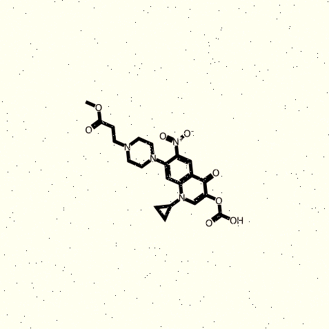 COC(=O)CCN1CCN(c2cc3c(cc2[N+](=O)[O-])c(=O)c(OC(=O)O)cn3C2CC2)CC1